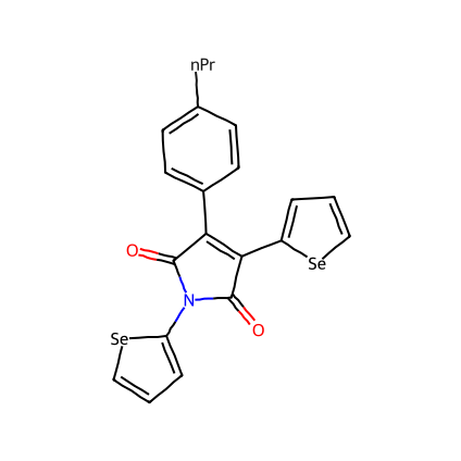 CCCc1ccc(C2=C(c3ccc[se]3)C(=O)N(c3ccc[se]3)C2=O)cc1